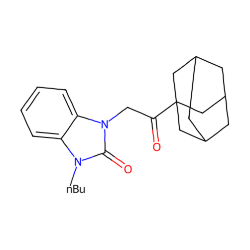 CCCCn1c(=O)n(CC(=O)C23CC4CC(CC(C4)C2)C3)c2ccccc21